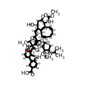 COC(=O)NC1C(=O)C[C@H](O)/C(=C/CSC(C)=O)C2=C1C#C/C=C\C#C[C@@H]2OC1OC(C)C(SC)(C(=O)c2nccc3c2[nH]c2ccc(C(=O)O)cc23)C(O)C1OC1CC(OC)C(NC(C)C)CO1